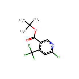 CC(C)(C)OC(=O)c1cnc(Cl)cc1C(F)(F)F